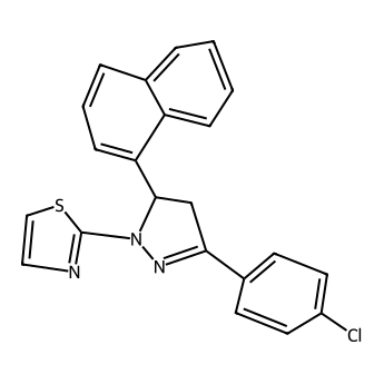 Clc1ccc(C2=NN(c3nccs3)C(c3cccc4ccccc34)C2)cc1